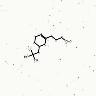 CC(C)(O)CC1CCC=C(CCCC=O)C1